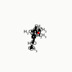 COC(=O)C1O[C@@H](Oc2ccc(COC(=O)NCCS(C)(=O)=O)cc2N)C(OC(C)=O)C(OC(C)=O)[C@@H]1OC(C)=O